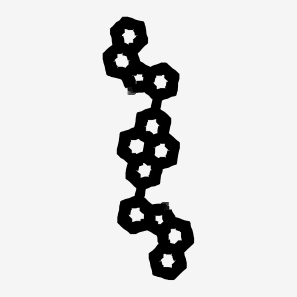 c1ccc2c(c1)ccc1sc3c(-c4cc5ccc6cc(-c7cccc8c7sc7ccc9ccccc9c78)cc7ccc(c4)c5c67)cccc3c12